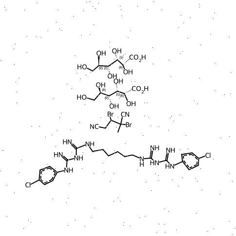 CC(Br)(C#N)C(Br)CC#N.N=C(NCCCCCCNC(=N)NC(=N)Nc1ccc(Cl)cc1)NC(=N)Nc1ccc(Cl)cc1.O=C(O)[C@H](O)[C@@H](O)[C@H](O)[C@H](O)CO.O=C(O)[C@H](O)[C@@H](O)[C@H](O)[C@H](O)CO